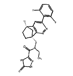 CCN(C[C@]12CC[C@H](C1)c1cc(-c3c(F)cccc3F)nnc12)C(=O)c1n[nH]c(=O)[nH]1